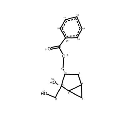 O=C(OC[C@@H]1CC2CC2[C@@]1(O)CO)c1ccccc1